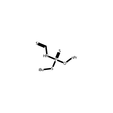 CCCOP(=S)(NC=S)SC(C)CC